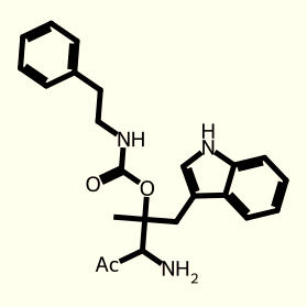 CC(=O)C(N)C(C)(Cc1c[nH]c2ccccc12)OC(=O)NCCc1ccccc1